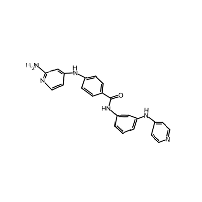 Nc1cc(Nc2ccc(C(=O)Nc3cccc(Nc4ccncc4)c3)cc2)ccn1